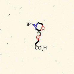 CC(C)N1CCO[C@H](COCCC(=O)O)C1